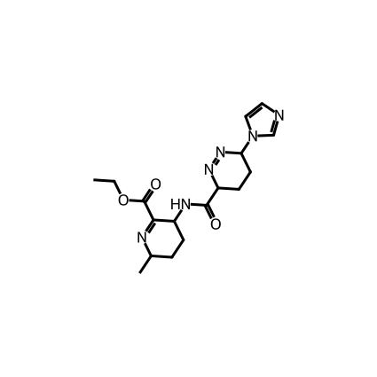 CCOC(=O)C1=NC(C)CCC1NC(=O)C1CCC(n2ccnc2)N=N1